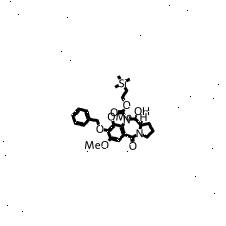 COc1cc2c(c(OC)c1OCc1ccccc1)N(C(=O)OCC[Si](C)(C)C)[C@@H](O)[C@@H]1CCCN1C2=O